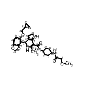 COCC(=O)NC1CCC(NC(=O)C2=C(C)NC(c3c(OCC4CC4)ccc4c3OCO4)c3cc[nH]c32)CC1